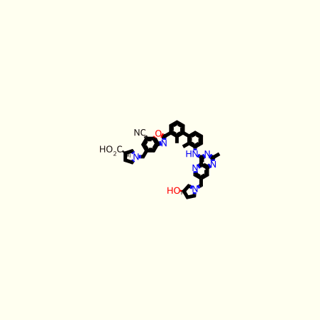 Cc1nc(Nc2cccc(-c3cccc(-c4nc5cc(CN6CC[C@@H](C(=O)O)C6)cc(C#N)c5o4)c3C)c2C)c2ncc(CN3CC[C@@H](O)C3)cc2n1